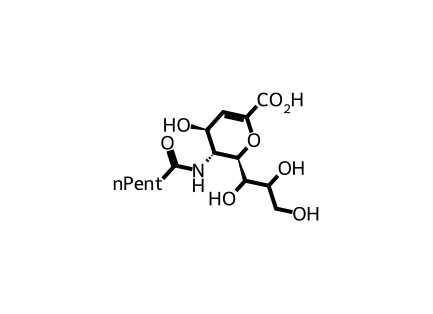 CCCCCC(=O)N[C@@H]1[C@@H](O)C=C(C(=O)O)O[C@H]1C(O)C(O)CO